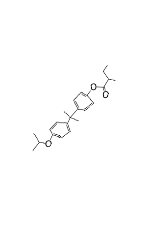 CCC(C)C(=O)Oc1ccc(C(C)(C)c2ccc(OC(C)C)cc2)cc1